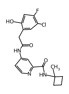 CC1(NC(=O)c2cc(NC(=O)Cc3cc(Cl)c(F)cc3O)ccn2)CCC1